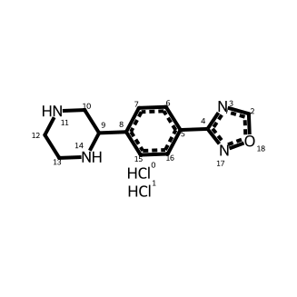 Cl.Cl.c1nc(-c2ccc(C3CNCCN3)cc2)no1